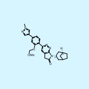 COCOc1cc(-c2cnn(C)c2)ccc1-c1cc2c(nn1)N([C@H]1CC3CC[C@@H](C3)C1)C(=O)C2